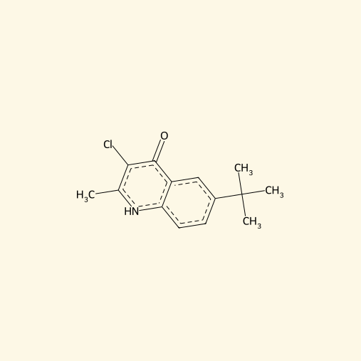 Cc1[nH]c2ccc(C(C)(C)C)cc2c(=O)c1Cl